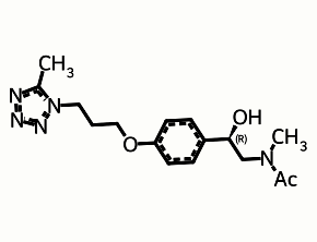 CC(=O)N(C)C[C@H](O)c1ccc(OCCCn2nnnc2C)cc1